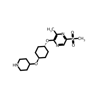 Cc1nc(S(C)(=O)=O)cnc1O[C@H]1CC[C@H](OC2CCNCC2)CC1